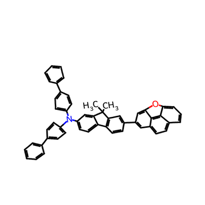 CC1(C)c2cc(-c3cc4ccc5cccc6oc(c3)c4c56)ccc2-c2ccc(N(c3ccc(-c4ccccc4)cc3)c3ccc(-c4ccccc4)cc3)cc21